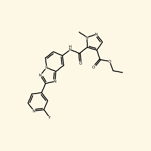 CCOC(=O)c1cnn(C)c1C(=O)Nc1ccn2nc(-c3ccnc(F)c3)nc2c1